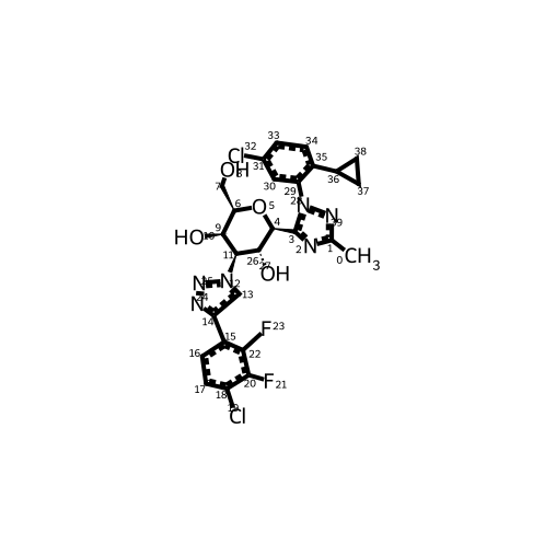 Cc1nc([C@@H]2O[C@H](CO)[C@H](O)[C@H](n3cc(-c4ccc(Cl)c(F)c4F)nn3)[C@H]2O)n(-c2cc(Cl)ccc2C2CC2)n1